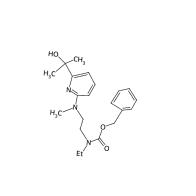 CCN(CCN(C)c1cccc(C(C)(C)O)n1)C(=O)OCc1ccccc1